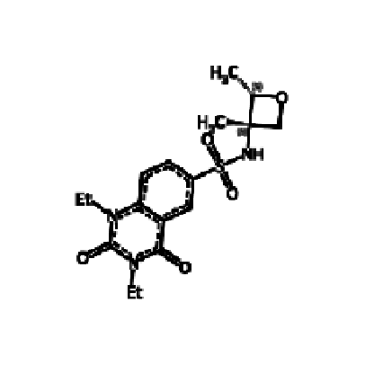 CCn1c(=O)c2cc(S(=O)(=O)N[C@@]3(C)CO[C@H]3C)ccc2n(CC)c1=O